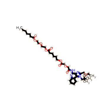 CCCCCCC(=O)OCCOCCOC(=O)CCCCCOC(=O)COCC(=O)Nc1nc2ccccc2c2c1nc(COCC)n2CC(C)(C)C